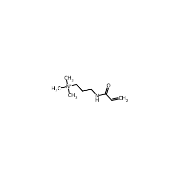 C=CC(=O)NCCC[N+](C)(C)C